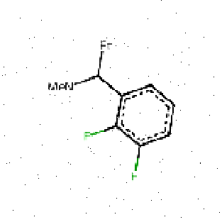 CCC(NC)c1cccc(F)c1F